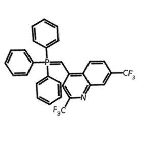 FC(F)(F)c1ccc2c(C=P(c3ccccc3)(c3ccccc3)c3ccccc3)cc(C(F)(F)F)nc2c1